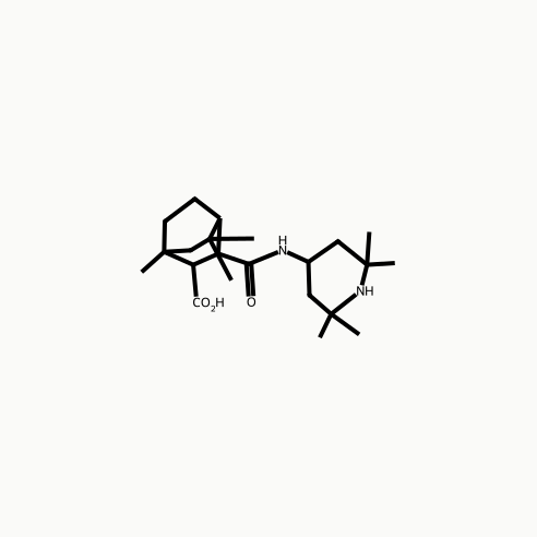 CC1(C)CC(NC(=O)C2C3CCC(C)(CC3(C)C)C2C(=O)O)CC(C)(C)N1